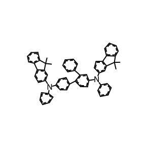 CC1(C)c2ccccc2-c2ccc(N(c3ccccc3)c3ccc(-c4ccc(N(c5ccccc5)c5ccc6c(c5)C(C)(C)c5ccccc5-6)cc4-c4ccccc4)cc3)cc21